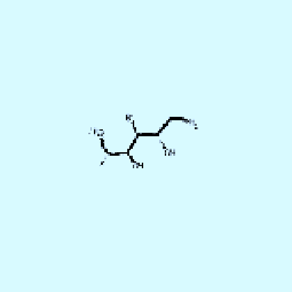 C[C@H](O)[C@H](O)[C@@H](O)[C@@H](O)CN